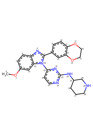 COc1ccc2nc(-c3ccc4c(c3)OCCO4)n(-c3ccnc(NC4CCCNC4)n3)c2c1